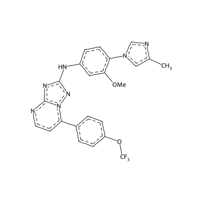 COc1cc(Nc2nc3nccc(-c4ccc(OC(F)(F)F)cc4)n3n2)ccc1-n1cnc(C)c1